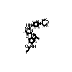 C=CC(=O)Nc1ccc2c(c1)c(C)cn2-c1nc(Nc2ccc(N3CCOCC3)cc2)ncc1Cl